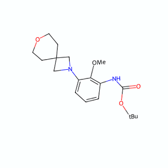 COc1c(NC(=O)OC(C)(C)C)cccc1N1CC2(CCOCC2)C1